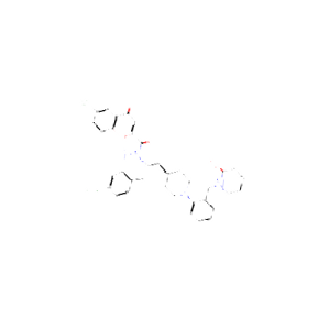 O=C(N[C@H](C=C1CCN(c2ccccc2CN2CCCCC2=O)CC1)Cc1ccc(Cl)cc1)c1cc(=O)c2cc(Br)ccc2o1